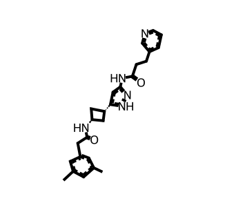 Cc1cc(C)cc(CC(=O)N[C@H]2C[C@@H](c3cc(NC(=O)CCc4cccnc4)n[nH]3)C2)c1